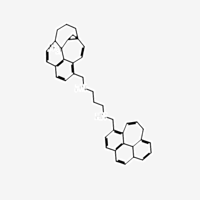 C1=CC2C=Cc3ccc(CNCCCNCc4ccc5c6c4C=CC47CCCC(C=C5)[C@H]6C4C7)c4c3C2C(=C1)CC=C4